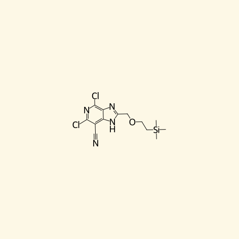 C[Si](C)(C)CCOCc1nc2c(Cl)nc(Cl)c(C#N)c2[nH]1